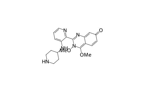 COc1c2ccc(=O)cc-2nc(-c2ncccc2NC2CCNCC2)n1OC